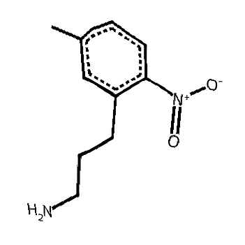 Cc1ccc([N+](=O)[O-])c(CCCN)c1